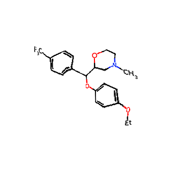 CCOc1ccc(OC(c2ccc(C(F)(F)F)cc2)C2CN(C)CCO2)cc1